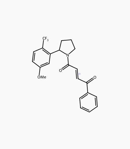 COc1ccc(C(F)(F)F)c(C2CCCN2C(=O)/C=C/C(=O)c2ccccc2)c1